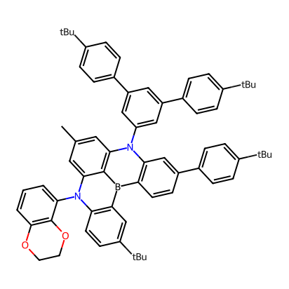 Cc1cc2c3c(c1)N(c1cccc4c1OCCO4)c1ccc(C(C)(C)C)cc1B3c1ccc(-c3ccc(C(C)(C)C)cc3)cc1N2c1cc(-c2ccc(C(C)(C)C)cc2)cc(-c2ccc(C(C)(C)C)cc2)c1